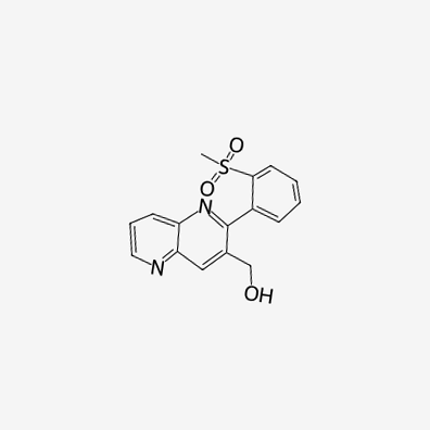 CS(=O)(=O)c1ccccc1-c1nc2cccnc2cc1CO